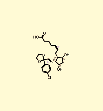 O=C(O)CCC/C=C\C[C@@H]1[C@@H](/C=C/C2(c3ccc(Cl)cc3)OCCO2)[C@H](O)C[C@@H]1O